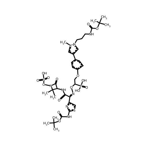 C[n+]1cc(-c2ccc(OCC(ON=C(C(=O)NC3C(=O)N(OS(=O)(=O)O)C3(C)C)c3csc(NC(=O)OC(C)(C)C)n3)P(=O)(O)O)cc2)cn1CCCNC(=O)OC(C)(C)C